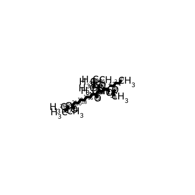 CCCCC[C@@H](OC(C)=O)[C@@H](/C=C/C(=O)CCCCCCCC(=O)OC(C)(C)C)O[Si](C(C)C)(C(C)C)C(C)C